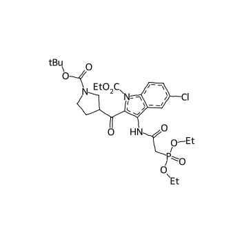 CCOC(=O)n1c(C(=O)C2CCN(C(=O)OC(C)(C)C)C2)c(NC(=O)CP(=O)(OCC)OCC)c2cc(Cl)ccc21